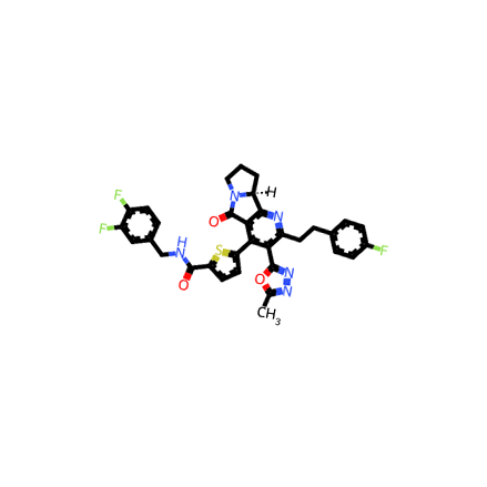 Cc1nnc(-c2c(CCc3ccc(F)cc3)nc3c(c2-c2ccc(C(=O)NCc4ccc(F)c(F)c4)s2)C(=O)N2CCC[C@@H]32)o1